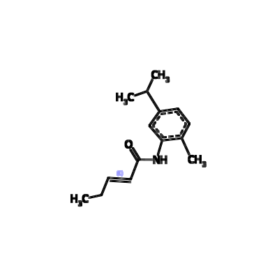 CC/C=C/C(=O)Nc1cc(C(C)C)ccc1C